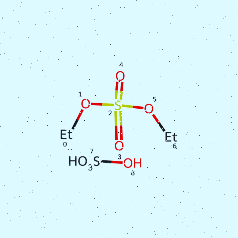 CCOS(=O)(=O)OCC.O=S(=O)(O)O